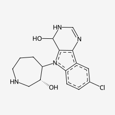 OC1NC=Nc2c1n(C1CCCNC[C@H]1O)c1ccc(Cl)cc21